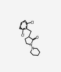 O=C1C(Cc2c(Cl)cccc2Cl)CCN1N1CCCCC1